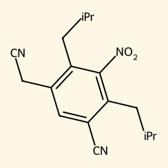 CC(C)Cc1c(C#N)cc(CC#N)c(CC(C)C)c1[N+](=O)[O-]